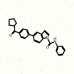 O=C(c1ccc(-c2ccc3c(ccn3C(=O)Nc3ccccc3)c2)cc1)C1CCCC1